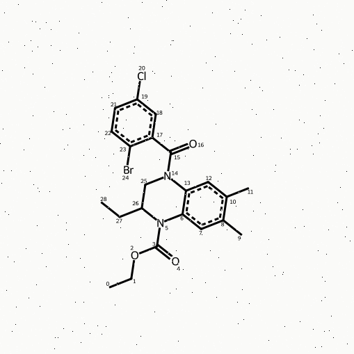 CCOC(=O)N1c2cc(C)c(C)cc2N(C(=O)c2cc(Cl)ccc2Br)CC1CC